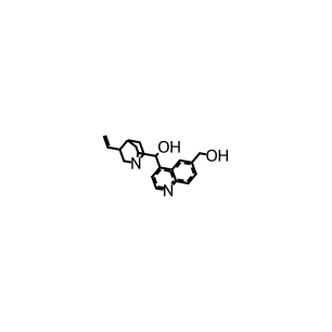 C=CC1CN2CCC1CC2C(O)c1ccnc2ccc(CO)cc12